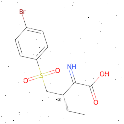 CC[C@H](CS(=O)(=O)c1ccc(Br)cc1)C(=N)C(=O)O